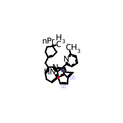 CCCC1(C)CC=C(CC2=CCC=C3\C=C/C(c4c[nH]nc4-c4cccc(C)n4)=C/C=C/C3=C2)CC1